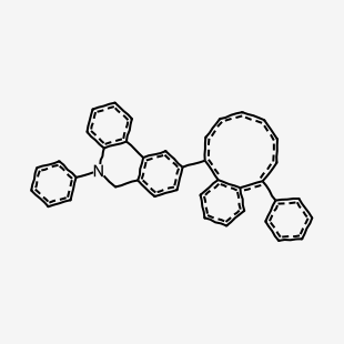 c1ccc(-c2ccccccc(-c3ccc4c(c3)-c3ccccc3N(c3ccccc3)C4)c3ccccc23)cc1